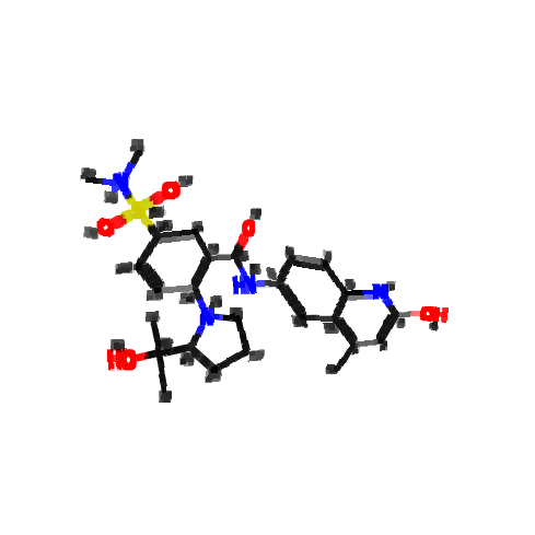 Cc1cc(O)nc2ccc(NC(=O)c3cc(S(=O)(=O)N(C)C)ccc3N3CCCC3C(C)(C)O)cc12